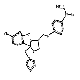 CCN(C(=O)O)c1ccc(SCC2COC(Cn3ccnc3)(c3ccc(Cl)cc3Cl)O2)cc1